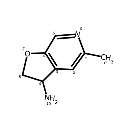 Cc1cc2c(cn1)OCC2N